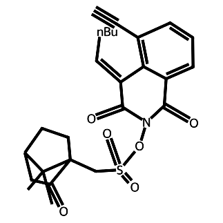 C#Cc1cccc2c1/C(=C\CCCC)C(=O)N(OS(=O)(=O)CC13CCC(CC1=O)C3(C)C)C2=O